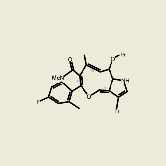 CCC1=CNC2/C1=C/O/C(c1ccc(F)cc1C)=C(C(=O)NC)\C(C)=C\C2OC(C)C